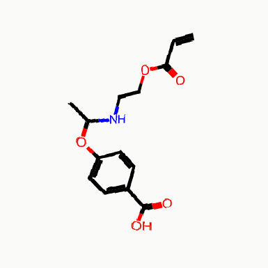 C=CC(=O)OCCNC(C)Oc1ccc(C(=O)O)cc1